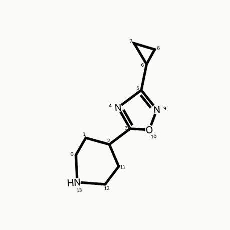 C1CC(c2nc(C3CC3)no2)CCN1